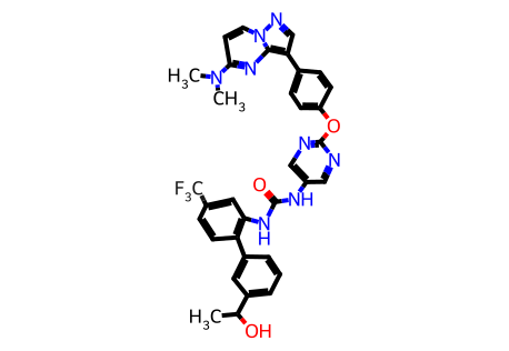 CC(O)c1cccc(-c2ccc(C(F)(F)F)cc2NC(=O)Nc2cnc(Oc3ccc(-c4cnn5ccc(N(C)C)nc45)cc3)nc2)c1